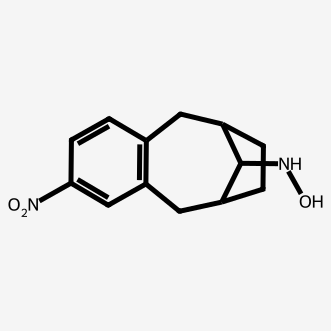 O=[N+]([O-])c1ccc2c(c1)CC1CCC(C2)C1NO